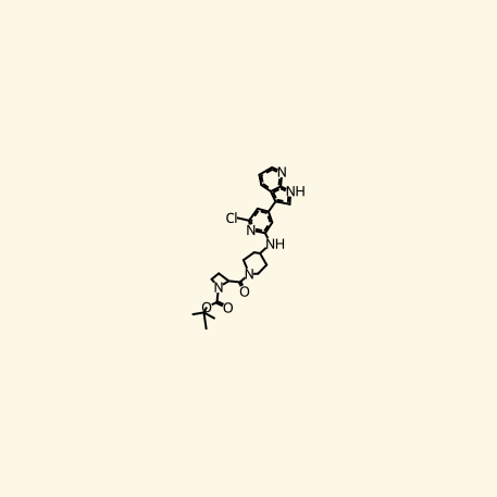 CC(C)(C)OC(=O)N1CCC1C(=O)N1CCC(Nc2cc(-c3c[nH]c4ncccc34)cc(Cl)n2)CC1